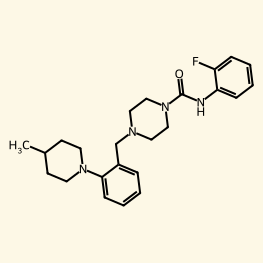 CC1CCN(c2ccccc2CN2CCN(C(=O)Nc3ccccc3F)CC2)CC1